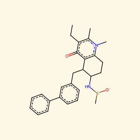 CCc1c(C)n(C)c2c(c1=O)C(Cc1cccc(-c3ccccc3)c1)C(N[S+](C)[O-])CC2